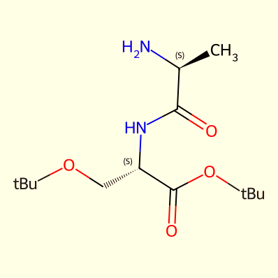 C[C@H](N)C(=O)N[C@@H](COC(C)(C)C)C(=O)OC(C)(C)C